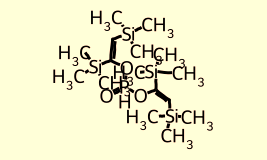 C[Si](C)(C)C=C(O[PH](=O)OC(=C[Si](C)(C)C)[Si](C)(C)C)[Si](C)(C)C